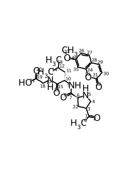 CC(=O)C1CN[C@H](C(=O)N[C@@H](CC(C)C)C(=O)NCC(=O)O)C1.COc1ccc2ccc(=O)oc2c1